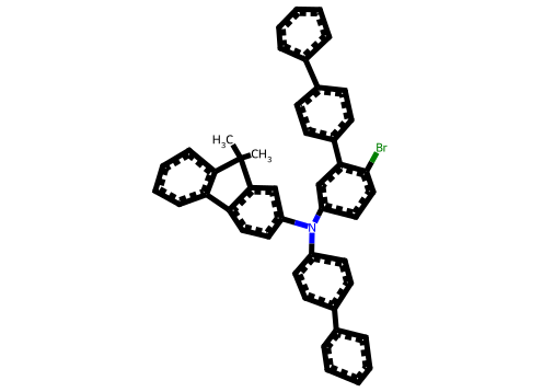 CC1(C)c2ccccc2-c2ccc(N(c3ccc(-c4ccccc4)cc3)c3ccc(Br)c(-c4ccc(-c5ccccc5)cc4)c3)cc21